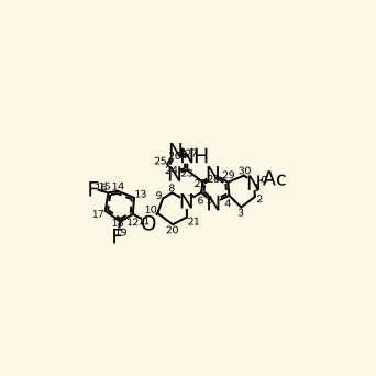 CC(=O)N1CCc2nc(N3CCC(Oc4ccc(F)cc4F)CC3)c(-c3ncn[nH]3)nc2C1